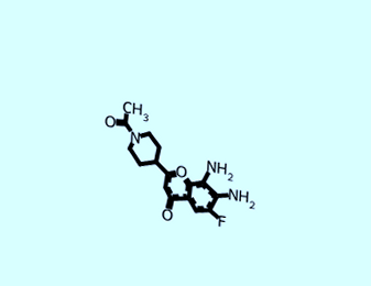 CC(=O)N1CCC(c2cc(=O)c3cc(F)c(N)c(N)c3o2)CC1